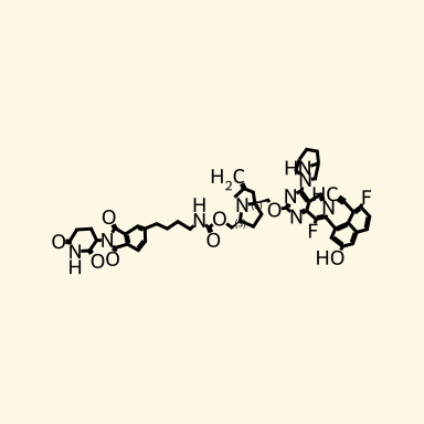 C#Cc1c(F)ccc2cc(O)cc(-c3ncc4c(N5CC6CCC(C5)N6)nc(OC[C@@]56CC[C@@H](COC(=O)NCCCCc7ccc8c(c7)C(=O)N(C7CCC(=O)NC7=O)C8=O)N5CC(=C)C6)nc4c3F)c12